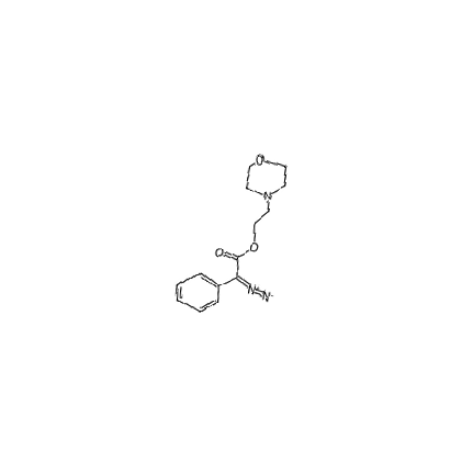 [N-]=[N+]=C(C(=O)OCCN1CCOCC1)c1ccccc1